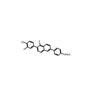 CCCCCc1ccc(-c2ccc3c(F)c(-c4ccc(Cl)c(F)c4)ccc3c2)cc1